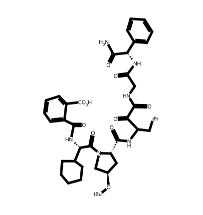 CC(C)CC(NC(=O)[C@@H]1C[C@@H](OC(C)(C)C)CN1C(=O)[C@@H](NC(=O)c1ccccc1C(=O)O)C1CCCCC1)C(=O)C(=O)NCC(=O)N[C@H](C(N)=O)c1ccccc1